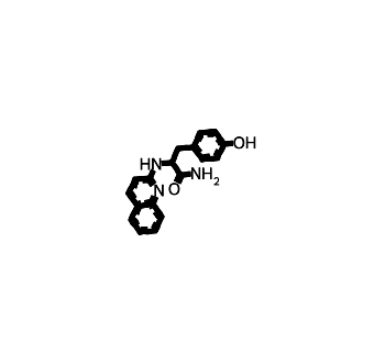 NC(=O)C(Cc1ccc(O)cc1)Nc1ccc2ccccc2n1